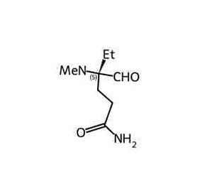 CC[C@@](C=O)(CCC(N)=O)NC